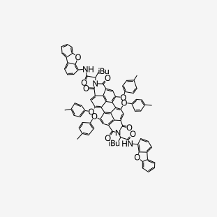 CCC(C)C(C(=O)Nc1cccc2c1oc1ccccc12)N1C(=O)c2cc(Oc3ccc(C)cc3)c3c4c(Oc5ccc(C)cc5)cc5c6c(cc(Oc7ccc(C)cc7)c(c7c(Oc8ccc(C)cc8)cc(c2c37)C1=O)c64)C(=O)N(C(C(=O)Nc1cccc2c1oc1ccccc12)C(C)CC)C5=O